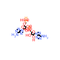 Nc1ncnc2c1ncn2[C@@H]1O[C@H](OC[PH](=O)O)[C@H](OP(=O)(O)OC[C@H]2O[C@@H](n3cnc4c(N)ncnc43)[C@@H](O)C2O)C1O